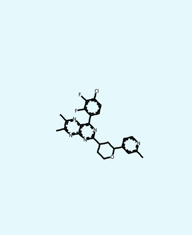 Cc1cc(C2CC(c3nc(-c4ccc(Cl)c(F)c4F)c4nc(C)c(C)nc4n3)CCO2)ccn1